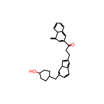 C=C1C=C(C(=O)CCC2=CC3C=C(CC4CCC(O)CC4)C=CC3=C2)C=C2C=CC=CC12